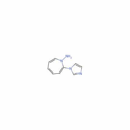 NN1C=CC=CC=C1n1ccnc1